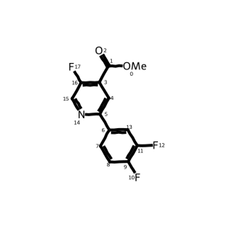 COC(=O)c1cc(-c2ccc(F)c(F)c2)ncc1F